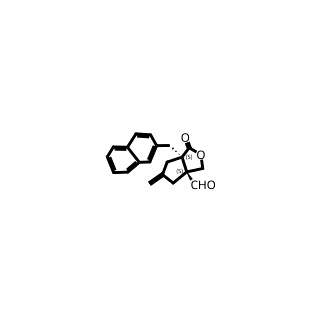 C=C1C[C@@]2(C=O)COC(=O)[C@]2(Cc2ccc3ccccc3c2)C1